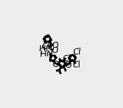 Cc1c(Cl)c(Oc2ccc(Cl)cc2Cl)c(C)c(C(C)C)c1Oc1ccc(NC(=O)NC(=O)c2ccccc2Cl)cc1